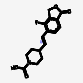 O=C1OCc2c1ccc(/C=C/C1CCN(C(=O)O)CC1)c2F